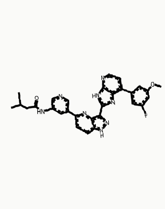 COc1cc(F)cc(-c2ccnc3[nH]c(-c4n[nH]c5ccc(-c6cncc(NC(=O)CC(C)C)c6)nc45)nc23)c1